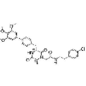 COc1cc(-c2ccc(C[C@H]3NC(=O)[C@H](C)N(CC(=O)NCCc4ccc(Cl)cc4)C3=O)cc2)cc(OC)c1OC